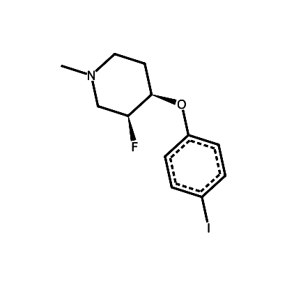 CN1CC[C@@H](Oc2ccc(I)cc2)[C@@H](F)C1